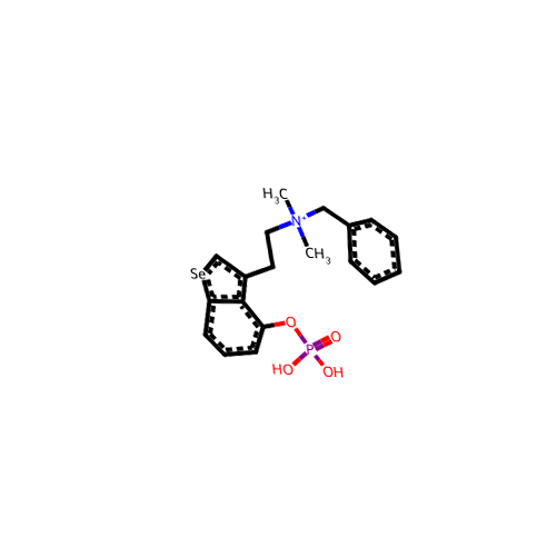 C[N+](C)(CCc1c[se]c2cccc(OP(=O)(O)O)c12)Cc1ccccc1